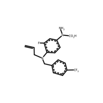 C=CCN(Cc1ccc(C(F)(F)F)cc1)c1ccc(N(N)C(=O)O)cc1F